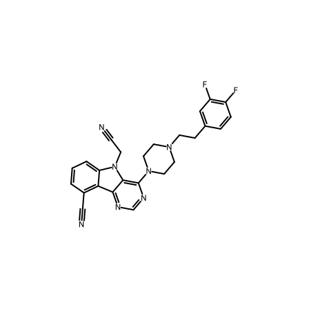 N#CCn1c2cccc(C#N)c2c2ncnc(N3CCN(CCc4ccc(F)c(F)c4)CC3)c21